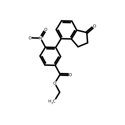 CCOC(=O)c1ccc([N+](=O)[O-])c(-c2cccc3c2CCC3=O)c1